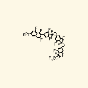 CCCc1cc(F)c2c(F)c(-c3cc(F)c(C(F)(F)Oc4cc(F)c(C(F)(F)Oc5cc(F)c(C(F)(F)OC(F)(F)F)c(F)c5)c(F)c4)c(F)c3)c(F)cc2c1